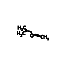 C=C(C)COC#CC